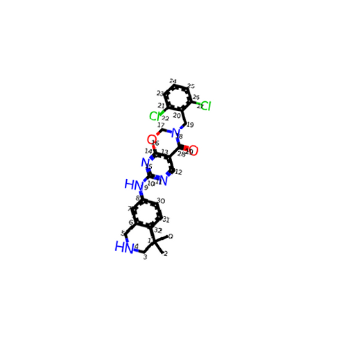 CC1(C)CNCc2cc(Nc3ncc4c(n3)OCN(Cc3c(Cl)cccc3Cl)C4=O)ccc21